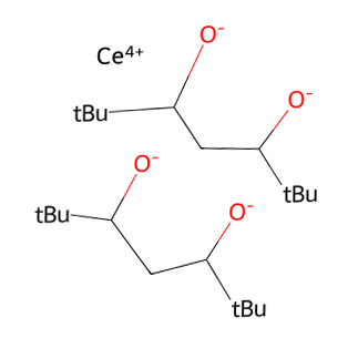 CC(C)(C)C([O-])CC([O-])C(C)(C)C.CC(C)(C)C([O-])CC([O-])C(C)(C)C.[Ce+4]